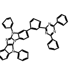 c1ccc(-c2nc(-c3ccccc3)nc(-c3cccc(-c4ccc5c(c4)n(-c4ccccc4)c4nc6c7ccccc7n(-c7ccccc7)c6n54)c3)n2)cc1